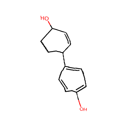 Oc1ccc(C2C=CC(O)CC2)cc1